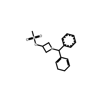 CS(=O)(=O)OC1CN(C(C2=CCCC=C2)c2ccccc2)C1